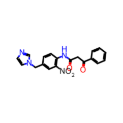 O=C(CC(=O)c1ccccc1)Nc1ccc(Cn2ccnc2)cc1[N+](=O)[O-]